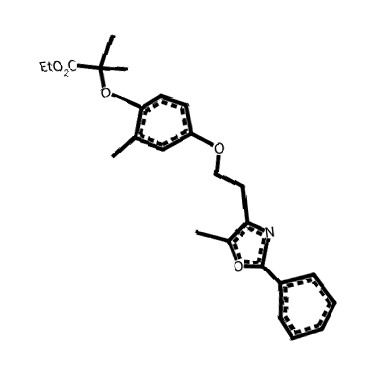 CCOC(=O)C(C)(C)Oc1ccc(OCCc2nc(-c3ccccc3)oc2C)cc1C